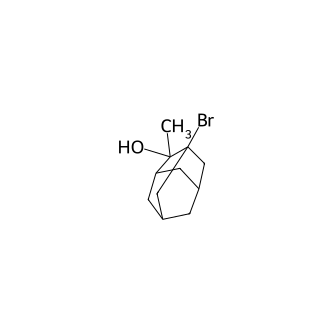 CC1(O)C2CC3CC(C2)CC1(Br)C3